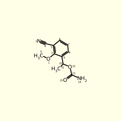 COc1c(C#N)cccc1C(C)OC(N)=O